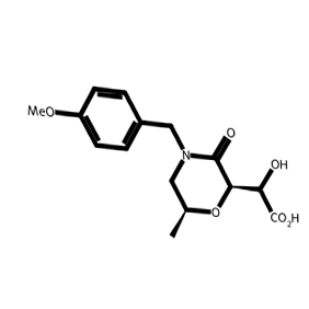 COc1ccc(CN2C[C@H](C)O[C@H](C(O)C(=O)O)C2=O)cc1